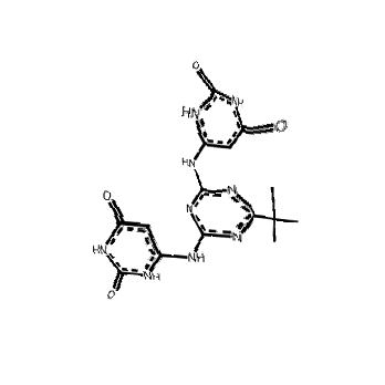 CC(C)(C)c1nc(Nc2cc(=O)[nH]c(=O)[nH]2)nc(Nc2cc(=O)[nH]c(=O)[nH]2)n1